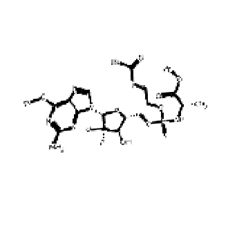 CCOc1nc(N)nc2c1ncn2[C@@H]1O[C@H](CO[P@](=S)(N[C@@H](C)C(=O)OC(C)C)OCCSC(=O)C(C)(C)C)[C@@H](O)[C@@]1(F)Cl